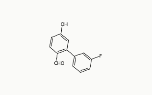 O=Cc1ccc(O)cc1-c1cccc(F)c1